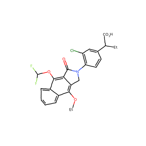 CCOc1c2c(c(OC(F)F)c3ccccc13)C(=O)N(c1ccc(C(CC)C(=O)O)cc1Cl)C2